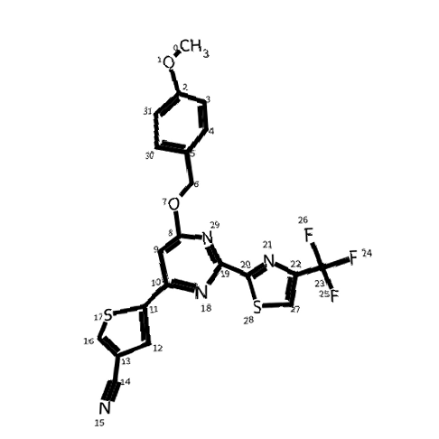 COc1ccc(COc2cc(-c3cc(C#N)cs3)nc(-c3nc(C(F)(F)F)cs3)n2)cc1